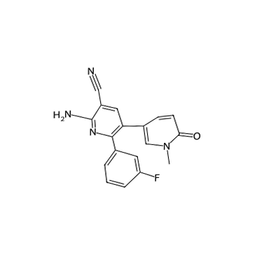 Cn1cc(-c2cc(C#N)c(N)nc2-c2cccc(F)c2)ccc1=O